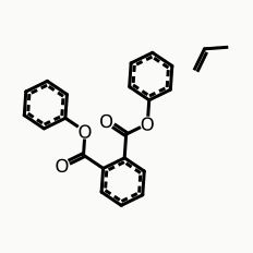 C=CC.O=C(Oc1ccccc1)c1ccccc1C(=O)Oc1ccccc1